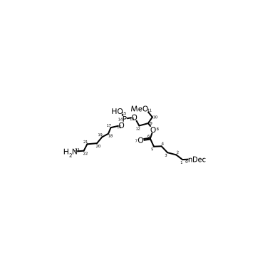 CCCCCCCCCCCCCCCC(=O)OC(COC)COP(O)OCCCCCCN